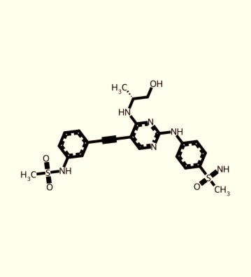 C[C@H](CO)Nc1nc(Nc2ccc(S(C)(=N)=O)cc2)ncc1C#Cc1cccc(NS(C)(=O)=O)c1